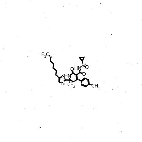 Cc1ccc(C2=C(C(=O)N[S+]([O-])C3CC3)C(=O)N[C@@](c3ncc(CCCCCCC(F)(F)F)s3)(C(F)(F)F)C2)cc1